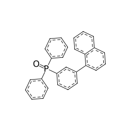 O=P(c1ccccc1)(c1ccccc1)c1cccc(-c2cccc3ccccc23)c1